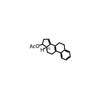 CC(=O)OC1CC=C2C3=C(CC[C@@H]21)c1ccccc1CC3